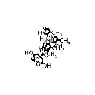 Cc1cn[nH]c1C.Cc1cn[nH]c1C.Cc1cn[nH]c1C.O=C(O)CC(O)(CC(=O)O)C(=O)O